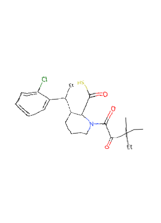 CCC(c1ccccc1Cl)C1CCCN(C(=O)C(=O)C(C)(C)CC)C1C(=O)S